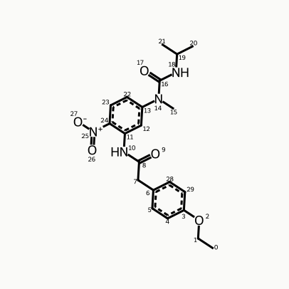 CCOc1ccc(CC(=O)Nc2cc(N(C)C(=O)NC(C)C)ccc2[N+](=O)[O-])cc1